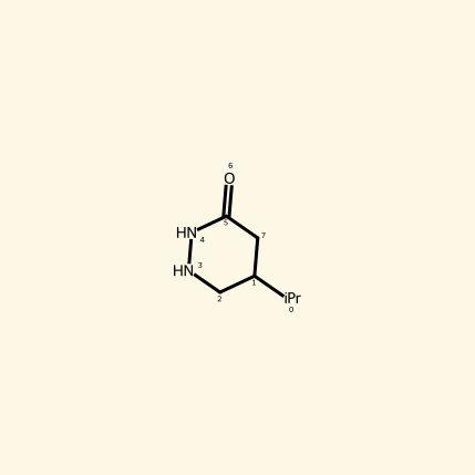 CC(C)C1CNNC(=O)C1